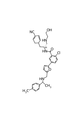 Cc1ccc(C(C)NCc2ccc(-c3ccc(Cl)c(C(=O)N[C@@H](CNCCO)CC4C=CC(C#N)=CC4)c3)o2)cc1